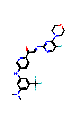 CN(C)c1cc(Nc2ccc(C(=O)/C=N/c3ncc(F)c(N4CCOCC4)n3)nc2)cc(C(F)(F)F)c1